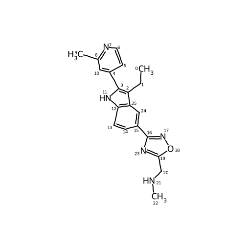 CCc1c(-c2ccnc(C)c2)[nH]c2ccc(-c3noc(CNC)n3)cc12